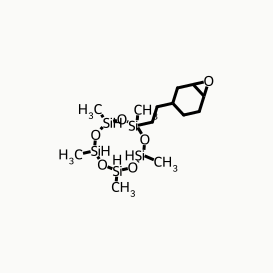 C[SiH]1O[SiH](C)O[SiH](C)O[Si](C)(CCC2CCC3OC3C2)O[SiH](C)O1